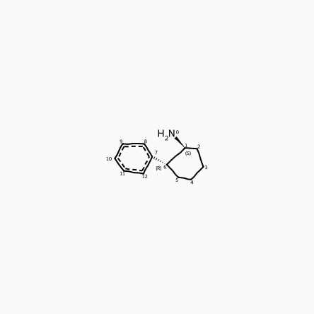 N[C@H]1CCCC[C@@H]1c1ccccc1